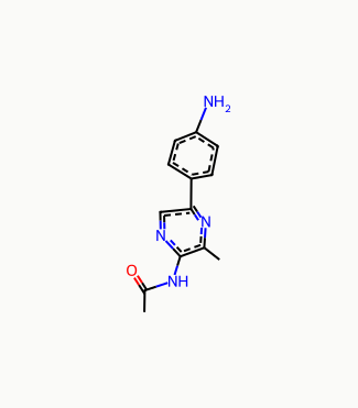 CC(=O)Nc1ncc(-c2ccc(N)cc2)nc1C